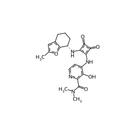 Cc1cc2c(o1)[C@@H](Nc1c(Nc3ccnc(C(=O)N(C)C)c3O)c(=O)c1=O)CCC2